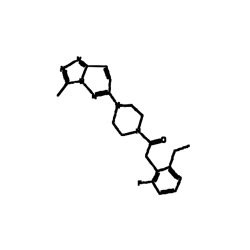 CCc1cccc(F)c1CC(=O)N1CCN(c2ccc3nnc(C)n3n2)CC1